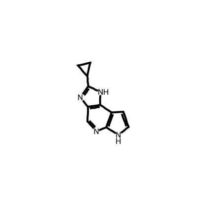 c1cc2c(ncc3nc(C4CC4)[nH]c32)[nH]1